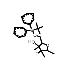 CC1OC(CO[Si](c2ccccc2)(c2ccccc2)C(C)(C)C)C(C)(O)C1(C)F